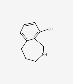 Oc1cccc2c1CNCCC2